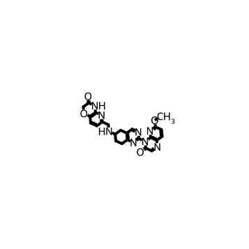 COc1ccc2ncc(=O)n(-c3ncc4c(n3)CCC(NCc3ccc5c(n3)NC(=O)CO5)C4)c2n1